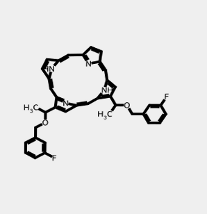 CC(OCc1cccc(F)c1)C1=Cc2cc3[nH]c(cc4nc(cc5ccc(cc1n2)[nH]5)C=C4)cc3C(C)OCc1cccc(F)c1